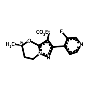 CCOC(=O)c1c(-c2ccncc2F)nn2c1O[C@H](C)CC2